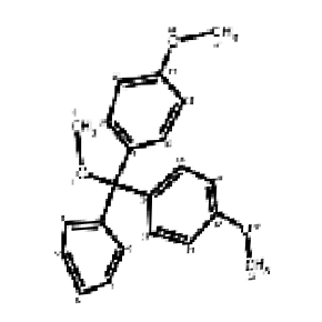 [CH2]OC(c1ccccc1)(c1ccc(OC)cc1)c1ccc(OC)cc1